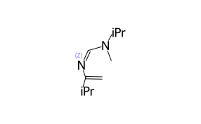 C=C(/N=C\N(C)C(C)C)C(C)C